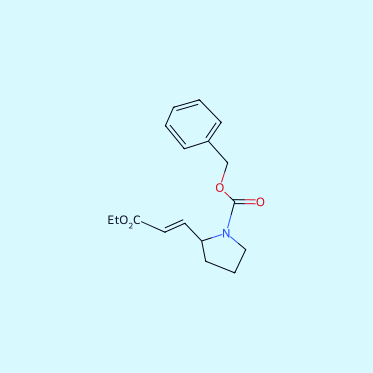 CCOC(=O)C=CC1CCCN1C(=O)OCc1ccccc1